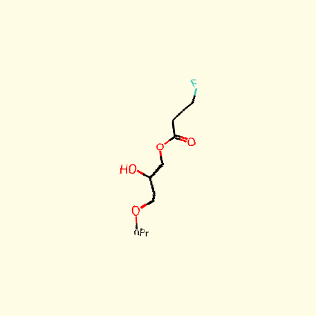 CCCOCC(O)COC(=O)CCF